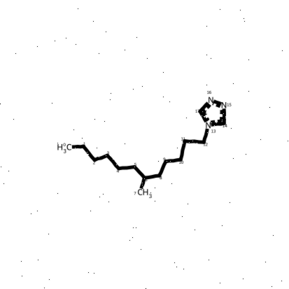 CCCCCCC(C)CCCCCn1cnnc1